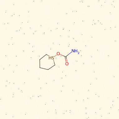 NC(=O)O[SH]1CCCCC1